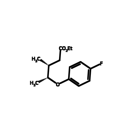 CCOC(=O)C[C@@H](C)[C@@H](C)Oc1ccc(F)cc1